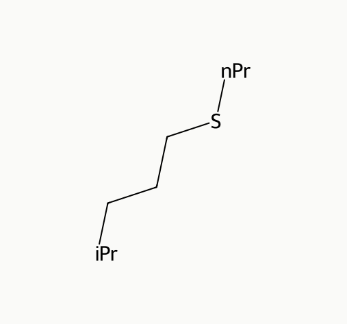 CCCSCCCC(C)C